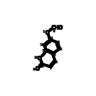 O=COc1ccc2ccc(=O)oc2c1